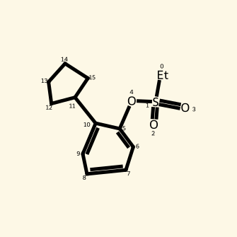 CCS(=O)(=O)Oc1ccccc1C1CCCC1